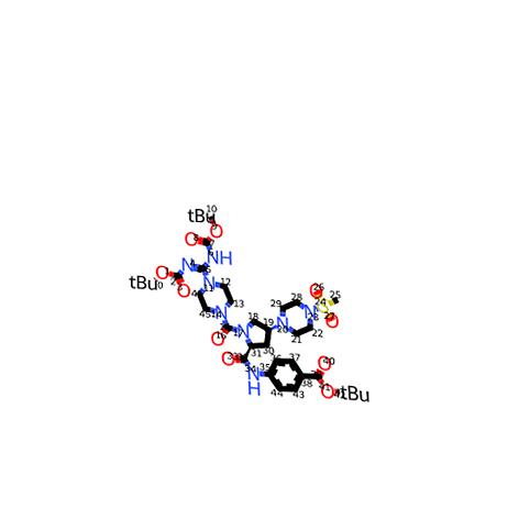 CC(C)(C)OC(=O)/N=C(/NC(=O)OC(C)(C)C)N1CCN(C(=O)N2C[C@@H](N3CCN(S(C)(=O)=O)CC3)C[C@H]2C(=O)Nc2ccc(C(=O)OC(C)(C)C)cc2)CC1